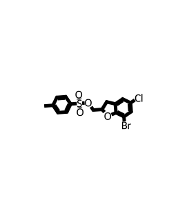 Cc1ccc(S(=O)(=O)OCC2Cc3cc(Cl)cc(Br)c3O2)cc1